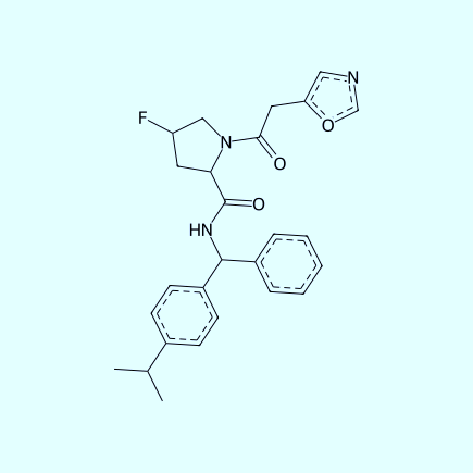 CC(C)c1ccc(C(NC(=O)C2CC(F)CN2C(=O)Cc2cnco2)c2ccccc2)cc1